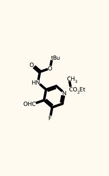 CC(C)(C)OC(=O)Nc1cncc(F)c1C=O.CCOC(C)=O